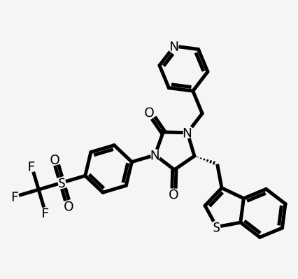 O=C1[C@@H](Cc2csc3ccccc23)N(Cc2ccncc2)C(=O)N1c1ccc(S(=O)(=O)C(F)(F)F)cc1